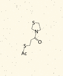 CC(=O)SCCC(=O)N1CCSC1